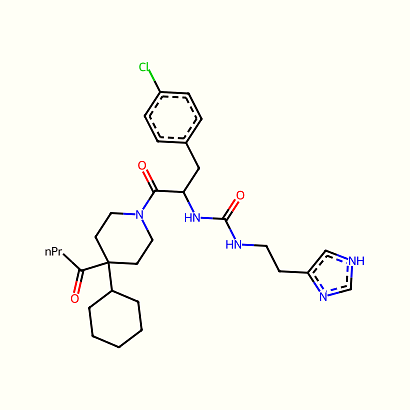 CCCC(=O)C1(C2CCCCC2)CCN(C(=O)C(Cc2ccc(Cl)cc2)NC(=O)NCCc2c[nH]cn2)CC1